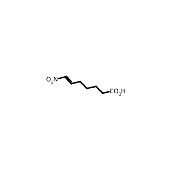 O=C(O)CCCCC=C[N+](=O)[O-]